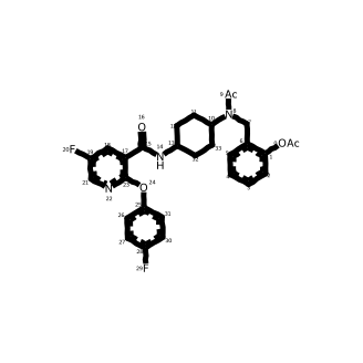 CC(=O)Oc1ccccc1CN(C(C)=O)C1CCC(NC(=O)c2cc(F)cnc2Oc2ccc(F)cc2)CC1